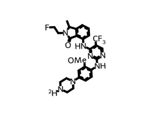 [2H]N1CCN(c2ccc(Nc3ncc(C(F)(F)F)c(Nc4cccc5c4C(=O)N(CCF)C5C)n3)c(OC)c2)CC1